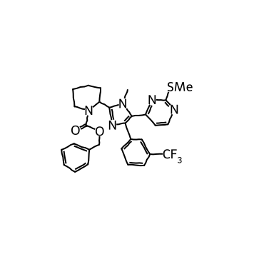 CSc1nccc(-c2c(-c3cccc(C(F)(F)F)c3)nc(C3CCCCN3C(=O)OCc3ccccc3)n2C)n1